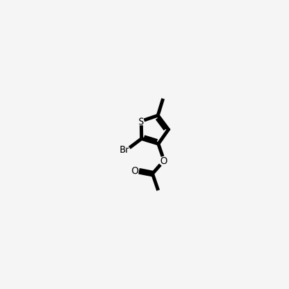 CC(=O)Oc1cc(C)sc1Br